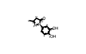 CC1=NN(c2ccc(O)c(O)c2)C(=O)C1